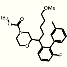 COCCCCC(c1cccc(F)c1-c1cccc(C)c1)C1CN(C(=O)OC(C)(C)C)CCO1